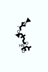 CC(C)CC1(NC(=O)CCC(C)(C)CC2(OC[C@H](C)C3CN(C4CC4)C3)CC2)COC1